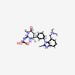 Cc1nc2cccc(CN(C)C)c2n1-c1cccc([C@]2(C)CC(=O)N(C)/C(=N/C(=O)O)N2)c1